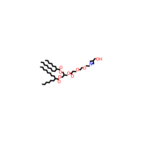 CCCCCCCCC(CCCCCC)C(=O)OCC(COC(=O)CCOCCOCCN1CC(CO)C1)COC(=O)C(CCCCCC)CCCCCCCC